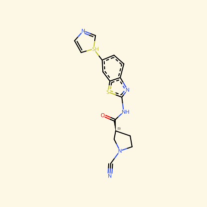 N#CN1CC[C@H](C(=O)Nc2nc3ccc([SH]4C=CN=C4)cc3s2)C1